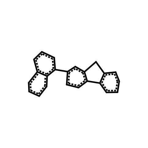 c1ccc2c(c1)Cc1cc(-c3cccc4ccccc34)ccc1-2